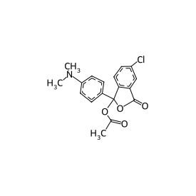 CC(=O)OC1(c2ccc(N(C)C)cc2)OC(=O)c2cc(Cl)ccc21